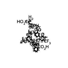 CC(C)OC(=O)c1cc(-n2c(=O)cc(C(F)(F)F)n(C)c2=O)ccc1Cl.CP(=O)(O)CCC(N)C(=O)O.O=C(Nc1nc(OC(F)F)cc(OC(F)F)n1)NS(=O)(=O)c1ccccc1C(=O)O